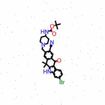 CC(C)(C)OC(=O)NC1CCN(Cc2cc3c(cc2C#N)C(=O)c2c([nH]c4cc(Br)ccc24)C3(C)C)CC1